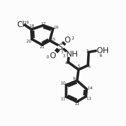 O=S(=O)(NCC(CCO)c1ccccc1)c1ccc(Cl)cc1